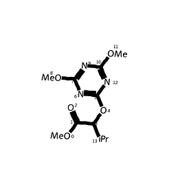 COC(=O)C(Oc1nc(OC)nc(OC)n1)C(C)C